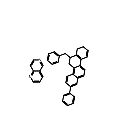 C1=CC2=C(CC1)C(Cc1ccccc1)Cc1c2ccc2cc(-c3ccccc3)ccc12.c1cnc2ccncc2c1